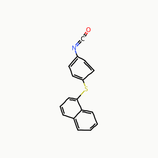 O=C=Nc1ccc(Sc2cccc3ccccc23)cc1